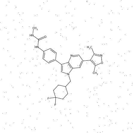 CNC(=O)Nc1ccc(-c2cn(CC3CCC(F)(F)CC3)c3cc(-c4c(C)noc4C)cnc23)cc1